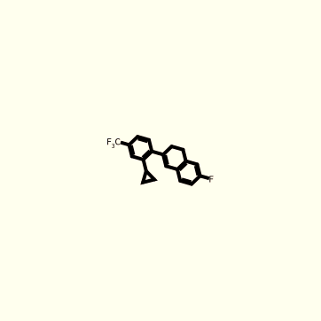 Fc1ccc2c(c1)CCC(c1ccc(C(F)(F)F)cc1C1CC1)=C2